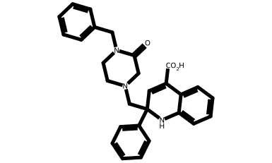 O=C(O)C1=CC(CN2CCN(Cc3ccccc3)C(=O)C2)(c2ccccc2)Nc2ccccc21